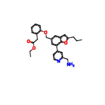 CCCc1cc2cc(COc3ccccc3CC(=O)OCC)cc(-c3ccnc(CN)c3)c2o1